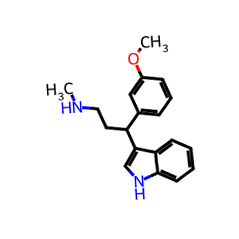 CNCCC(c1cccc(OC)c1)c1c[nH]c2ccccc12